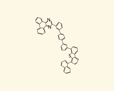 c1cc(-c2ccc(-c3cccc(-c4cccc5c4sc4c(-c6cccc7ccccc67)cccc45)c3)cc2)cc(-c2cnc3c4ccccc4c4ccccc4c3n2)c1